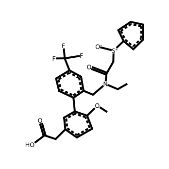 CCN(Cc1cc(C(F)(F)F)ccc1-c1cc(CC(=O)O)ccc1OC)C(=O)C[S+]([O-])c1ccccc1